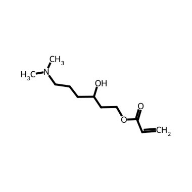 C=CC(=O)OCCC(O)CCCN(C)C